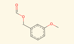 COc1cccc([CH]OC=O)c1